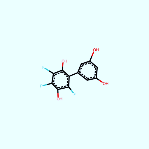 Oc1cc(O)cc(-c2c(O)c(F)c(F)c(O)c2F)c1